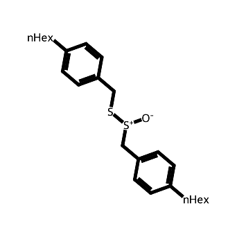 CCCCCCc1ccc(CS[S+]([O-])Cc2ccc(CCCCCC)cc2)cc1